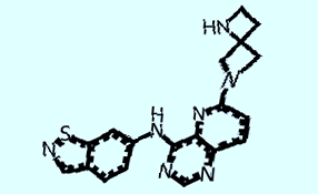 c1nc(Nc2ccc3cnsc3c2)c2nc(N3CC4(CCN4)C3)ccc2n1